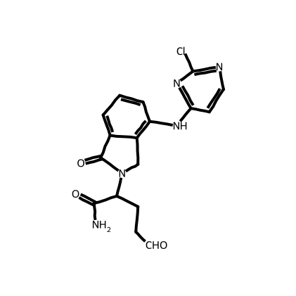 NC(=O)C(CCC=O)N1Cc2c(Nc3ccnc(Cl)n3)cccc2C1=O